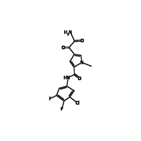 Cn1cc(C(=O)C(N)=O)cc1C(=O)Nc1cc(F)c(F)c(Cl)c1